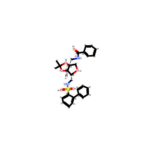 CC1(C)O[C@@H]2[C@@H](CNS(=O)(=O)c3ccccc3-c3ccccc3)OC[C@]2(CNC(=O)c2ccccc2)O1